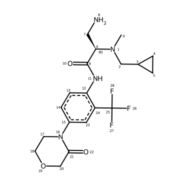 CN(CC1CC1)[C@H](CN)C(=O)Nc1ccc(N2CCOCC2=O)cc1C(F)(F)F